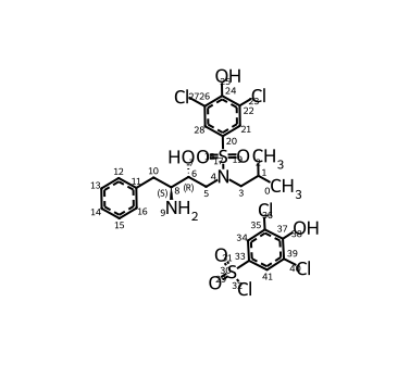 CC(C)CN(C[C@@H](O)[C@@H](N)Cc1ccccc1)S(=O)(=O)c1cc(Cl)c(O)c(Cl)c1.O=S(=O)(Cl)c1cc(Cl)c(O)c(Cl)c1